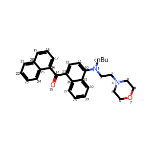 CCCCN(CCN1CCOCC1)c1ccc(C(=O)c2cccc3ccccc23)c2ccccc12